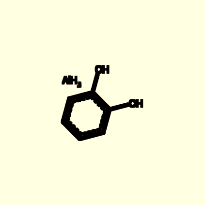 Oc1ccccc1O.[AlH3]